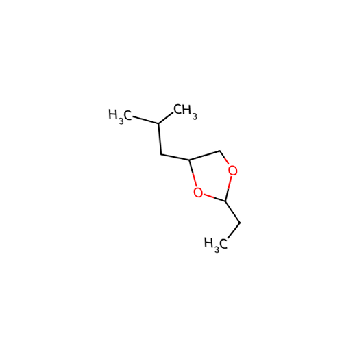 CCC1OCC(CC(C)C)O1